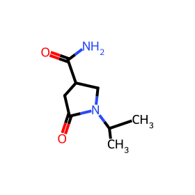 CC(C)N1CC(C(N)=O)CC1=O